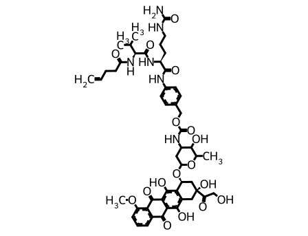 C=CCCC(=O)N[C@H](C(=O)N[C@@H](CCCNC(N)=O)C(=O)Nc1ccc(COC(=O)NC2CC(O[C@H]3C[C@](O)(C(=O)CO)Cc4c(O)c5c(c(O)c43)C(=O)c3c(OC)cccc3C5=O)OC(C)C2O)cc1)C(C)C